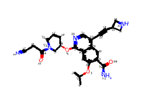 CC(C)Oc1cc2c(O[C@@H]3CCCN(C(=O)CC#N)C3)ncc(C#CC3CNC3)c2cc1C(N)=O